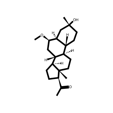 CO[C@@H]1C[C@@H]2[C@H](CC[C@]3(C)[C@@H](C(C)=O)CC[C@@H]23)[C@H]2CC[C@@](C)(O)C[C@@H]21